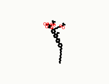 C=C(C)C(=O)OCCCCc1cc(-c2ccc(-c3ccc(C4CCC(CCCCCCCCCCC)CC4)cc3)cc2CC)ccc1OCC1(COC(=O)C(=C)C)COC(=O)OC1